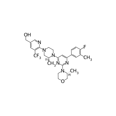 Cc1cc(-c2cc(N3CCN(c4ncc(CO)cc4C(F)(F)F)C[C@@H]3C)nc(N3CCOC[C@H]3C)n2)ccc1F